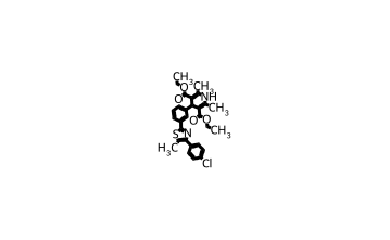 CCOC(=O)C1=C(C)NC(C)=C(C(=O)OCC)C1c1cccc(-c2nc(-c3ccc(Cl)cc3)c(C)s2)c1